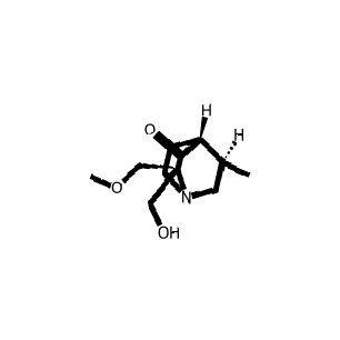 COC[C@@]1(CO)C(=O)[C@@H]2CCN1C[C@@H]2C